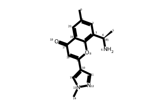 Cc1cc([C@@H](C)N)c2oc(-c3cnn(C)c3)cc(=O)c2c1